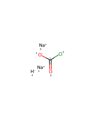 O=C([O-])Cl.[H-].[Na+].[Na+]